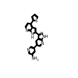 Nc1cncc(-c2cnc3[nH]nc(-c4cc5c(-c6cccs6)ccnc5[nH]4)c3c2)c1